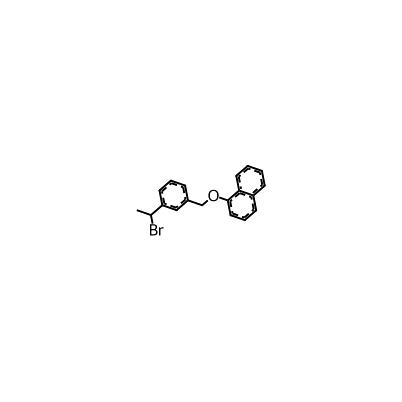 CC(Br)c1cccc(COc2cccc3ccccc23)c1